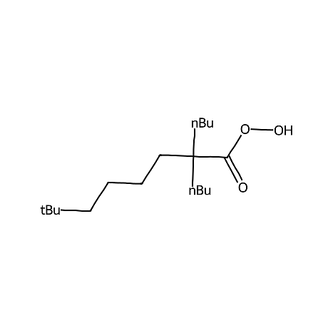 CCCCC(CCCC)(CCCCC(C)(C)C)C(=O)OO